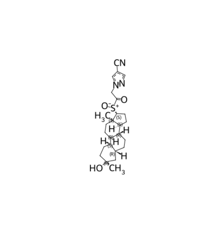 C[C@@]1(O)CC[C@H]2[C@H](CC[C@@H]3[C@@H]2CC[C@]2(C)[C@@H]([S+]([O-])C(=O)Cn4cc(C#N)cn4)CC[C@@H]32)C1